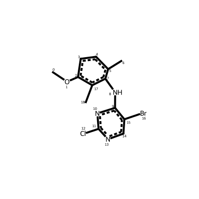 COc1ccc(C)c(Nc2nc(Cl)ncc2Br)c1C